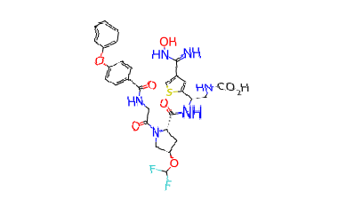 N=C(NO)c1csc(C(CNC(=O)O)NC(=O)[C@@H]2C[C@@H](OC(F)F)CN2C(=O)CNC(=O)c2ccc(Oc3ccccc3)cc2)c1